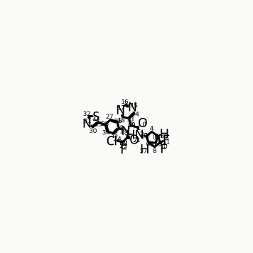 O=C(N[C@@H]1C[C@H]2C[C@@H]1CC2(F)F)[C@@H](c1cncnc1)N(C(=O)[C@H](F)Cl)c1ccc(-c2cncs2)cc1